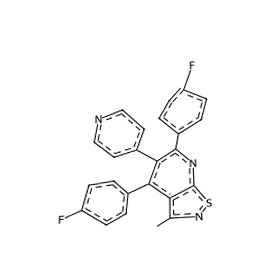 Cc1nsc2nc(-c3ccc(F)cc3)c(-c3ccncc3)c(-c3ccc(F)cc3)c12